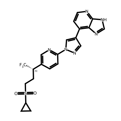 O=S(=O)(CC[C@@H](c1ccc(-n2cc(-c3ccnc4[nH]cnc34)cn2)nc1)C(F)(F)F)C1CC1